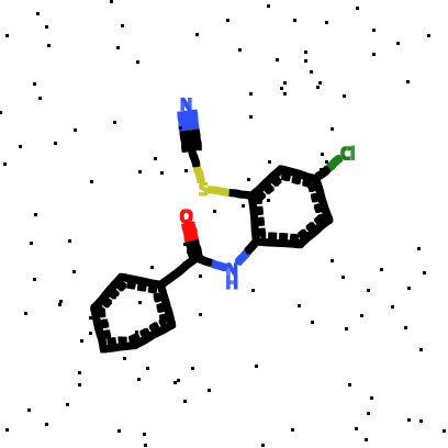 N#CSc1cc(Cl)ccc1NC(=O)c1ccccc1